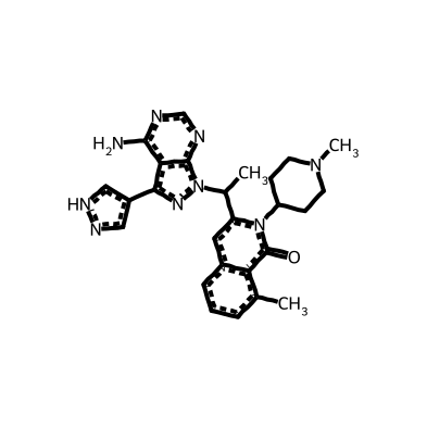 Cc1cccc2cc(C(C)n3nc(-c4cn[nH]c4)c4c(N)ncnc43)n(C3CCN(C)CC3)c(=O)c12